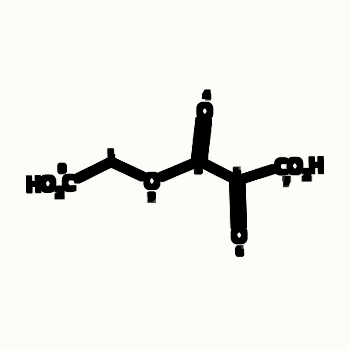 O=C(O)COC(=O)C(=O)C(=O)O